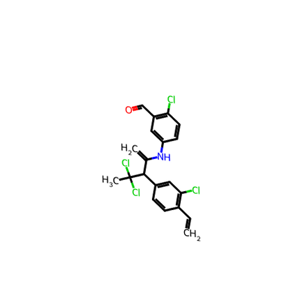 C=Cc1ccc(C(C(=C)Nc2ccc(Cl)c(C=O)c2)C(C)(Cl)Cl)cc1Cl